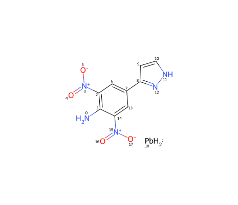 Nc1c([N+](=O)[O-])cc(-c2cc[nH]n2)cc1[N+](=O)[O-].[PbH2]